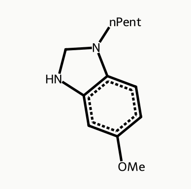 CCCCCN1CNc2cc(OC)ccc21